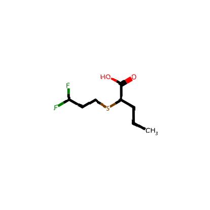 CCCC(SCCC(F)F)C(=O)O